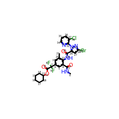 CNC(=O)c1cc(C(F)(F)C(=O)OC2CCCCC2)cc(C)c1NC(=O)c1cc(Br)nn1-c1ncccc1Cl